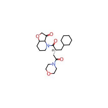 O=C1COC2CCCN(C(=O)[C@@H](CC(=O)N3CCOCC3)CC3CCCCC3)C12